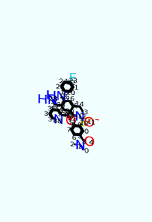 CN(C)C(=O)c1cccc([S+]([O-])N2CCC3=CC(Nc4ccc(F)cc4)=C(C=N)CC3(C(=O)c3ccccn3)C2)c1